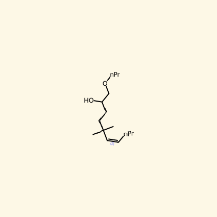 CCC/C=C\C(C)(C)CCC(O)COCCC